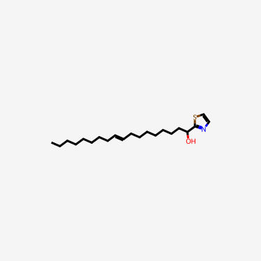 CCCCCCCCC=CCCCCCCCC(O)c1nccs1